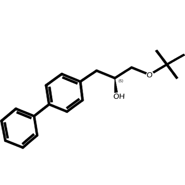 CC(C)(C)OC[C@@H](O)Cc1ccc(-c2ccccc2)cc1